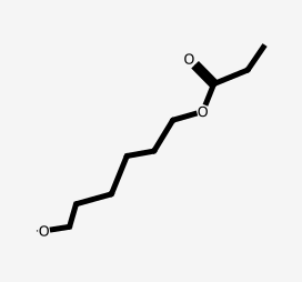 CCC(=O)OCCCCCC[O]